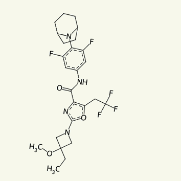 CCC1(OC)CN(c2nc(C(=O)Nc3cc(F)c(N4C5CCCC4CC5)c(F)c3)c(CC(F)(F)F)o2)C1